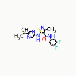 C=C(C)c1cnc(Nc2snc(C)c2C(=O)Nc2ccc(F)c(F)c2)cn1